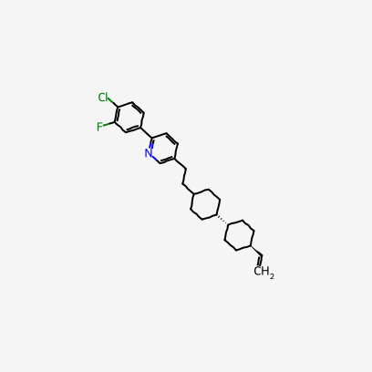 C=C[C@H]1CC[C@H](C2CCC(CCc3ccc(-c4ccc(Cl)c(F)c4)nc3)CC2)CC1